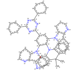 CC1(C)c2ccccc2N(c2c(-n3c4ccccc4c4ncccc43)cc(-c3nc(-c4ccccc4)nc(-c4ccccc4)n3)cc2-n2c3cccnc3c3ncccc32)c2ccccc21